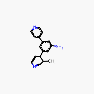 CC1C=NC=CC1c1cc(N)cc(-c2ccncc2)c1